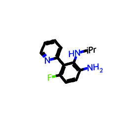 CC(C)Nc1c(N)ccc(F)c1-c1ccccn1